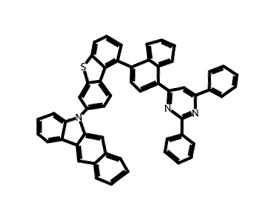 c1ccc(-c2cc(-c3ccc(-c4cccc5sc6cc(-n7c8ccccc8c8cc9ccccc9cc87)ccc6c45)c4ccccc34)nc(-c3ccccc3)n2)cc1